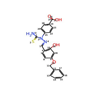 NC(=S)N(N=Cc1ccc(OCc2ccccc2)cc1O)c1ccc(C(=O)O)cc1